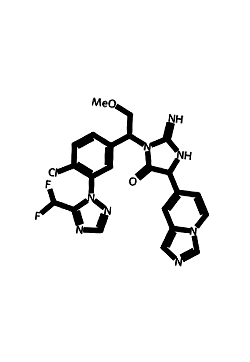 COCC(c1ccc(Cl)c(-n2ncnc2C(F)F)c1)N1C(=N)NC(c2ccn3cncc3c2)C1=O